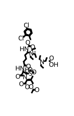 CCN(CC)CC.CC[N+](CC)(CC)C(CCCC(=O)N[C@@H]1C(=O)N2C(C(=O)[O-])=C(COC(C)=O)CS(=O)(=O)[C@@H]12)NC(=O)OCc1ccc(Cl)cc1Cl.O=CO